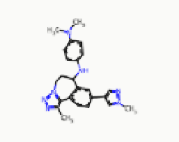 Cc1nnn2c1-c1ccc(-c3cnn(C)c3)cc1C(Nc1ccc(N(C)C)cc1)CC2